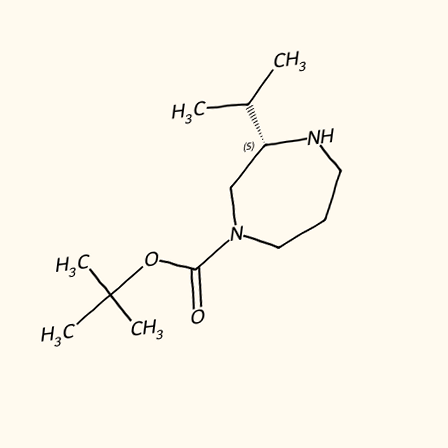 CC(C)[C@H]1CN(C(=O)OC(C)(C)C)CCCN1